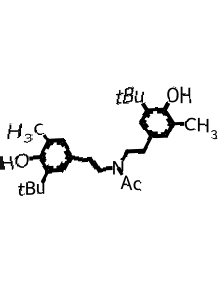 CC(=O)N(CCc1cc(C)c(O)c(C(C)(C)C)c1)CCc1cc(C)c(O)c(C(C)(C)C)c1